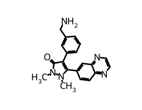 Cn1c(-c2ccc3nccnc3c2)c(-c2cccc(CN)c2)c(=O)n1C